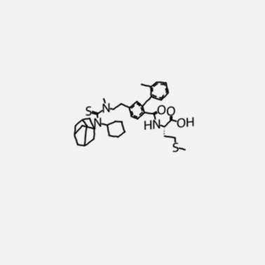 CSCC[C@H](NC(=O)c1ccc(CCN(C)C(=S)N(C2CCCCC2)C23CC4CC(CC(C4)C2)C3)cc1-c1ccccc1C)C(=O)O